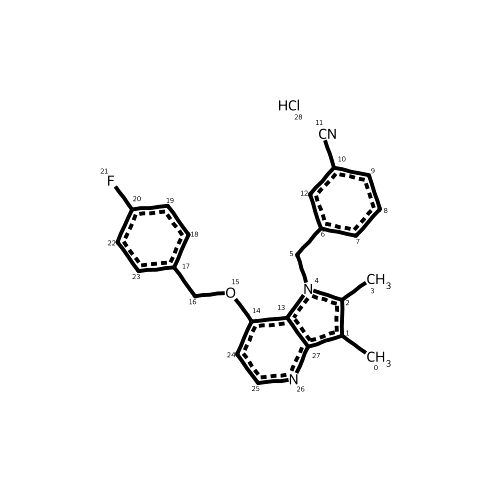 Cc1c(C)n(Cc2cccc(C#N)c2)c2c(OCc3ccc(F)cc3)ccnc12.Cl